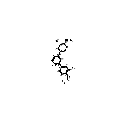 CC(=O)N[C@H]1CCN(c2ccnc(-c3ccc(OC(F)(F)F)c(F)c3)c2)C[C@@H]1O